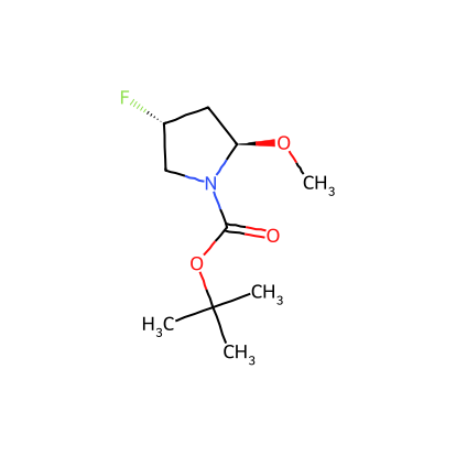 CO[C@@H]1C[C@@H](F)CN1C(=O)OC(C)(C)C